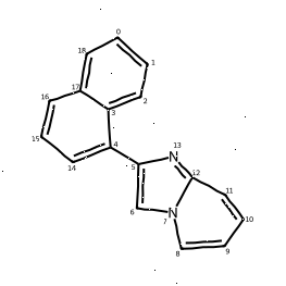 c1ccc2c(-c3cn4ccccc4n3)cccc2c1